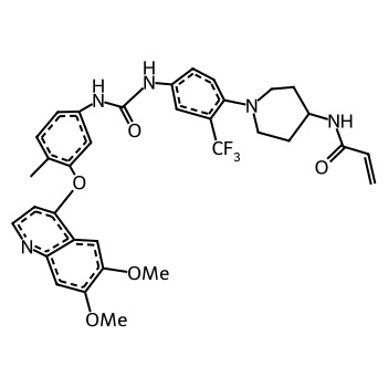 C=CC(=O)NC1CCN(c2ccc(NC(=O)Nc3ccc(C)c(Oc4ccnc5cc(OC)c(OC)cc45)c3)cc2C(F)(F)F)CC1